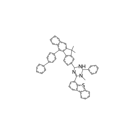 CN1C(c2cccc3c2sc2ccccc23)=NC(c2ccc3c(c2)C(C)(C)c2cc4ccccc4c(-c4ccc(-c5ccccc5)cc4)c2-3)NC1c1ccccc1